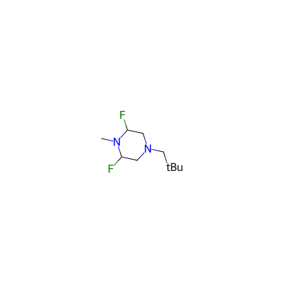 CN1C(F)CN(CC(C)(C)C)CC1F